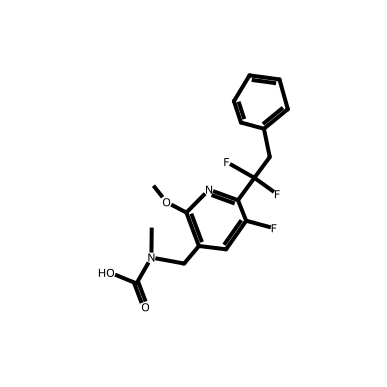 COc1nc(C(F)(F)Cc2ccccc2)c(F)cc1CN(C)C(=O)O